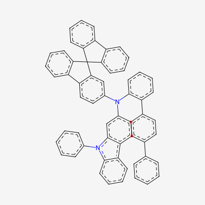 c1ccc(-c2ccc(-c3ccccc3N(c3ccc4c(c3)C3(c5ccccc5-c5ccccc53)c3ccccc3-4)c3ccc4c5ccccc5n(-c5ccccc5)c4c3)cc2)cc1